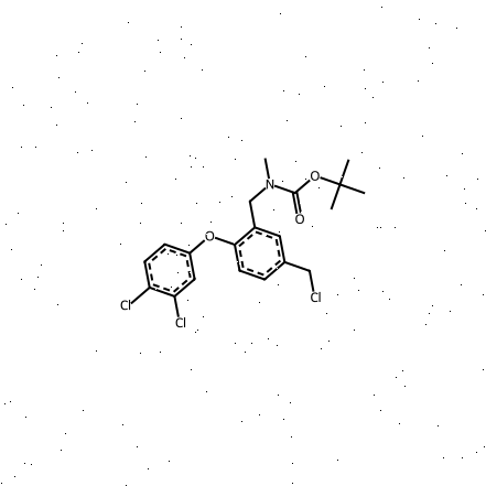 CN(Cc1cc(CCl)ccc1Oc1ccc(Cl)c(Cl)c1)C(=O)OC(C)(C)C